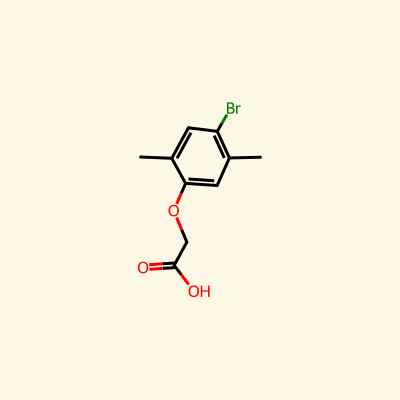 Cc1cc(OCC(=O)O)c(C)cc1Br